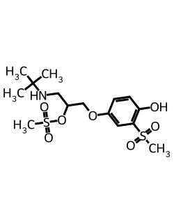 CC(C)(C)NCC(COc1ccc(O)c(S(C)(=O)=O)c1)OS(C)(=O)=O